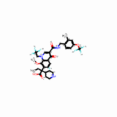 CCC(C(=O)O)(c1c(F)cc2c(=O)c(C(=O)NCc3ccc(OC(F)(F)F)cc3C)cn(CC(F)(F)F)c2c1OC)C1CCNCC1